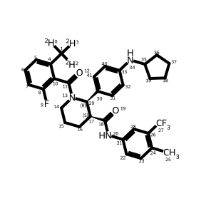 [2H]C([2H])([2H])c1cccc(F)c1C(=O)N1CCC[C@H](C(=O)Nc2ccc(C)c(C(F)(F)F)c2)[C@@H]1c1ccc(NC2CCCC2)cc1